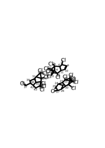 ClC1=C(Cl)C2(Cl)C3C(Cl)C=CC3C1(Cl)C2(Cl)Cl.ClC1=C(Cl)C2(Cl)C3C4CC(C5OC45)C3C1(Cl)C2(Cl)Cl.O=CC1CC2C3C1CC(Cl)(Cl)C3(Cl)C1(Cl)C2C1(Cl)Cl